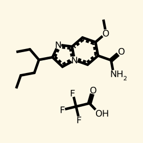 CCCC(CC)c1cn2cc(C(N)=O)c(OC)cc2n1.O=C(O)C(F)(F)F